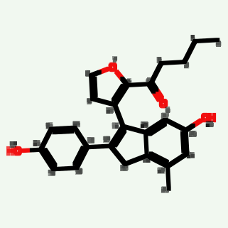 CCCCC(=O)c1occc1C1=C(c2ccc(O)cc2)Cc2c(C)cc(O)cc21